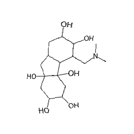 CN(C)CC1C(O)C(O)CC2CC3(O)CC(O)C(O)CC3(O)C21